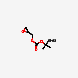 CCCCCCC(C)(C)OC(=O)OCC1CO1